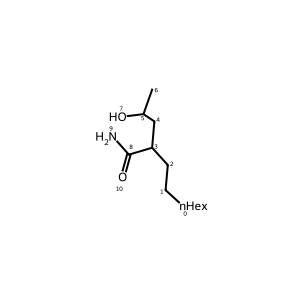 CCCCCCCCC(CC(C)O)C(N)=O